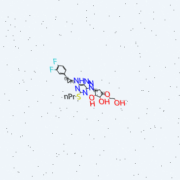 CCCSc1nc(N[C@@H]2C[C@H]2c2ccc(F)c(F)c2)c2nnn([C@@H]3C[C@H](OCCO)C(O)C3O)c2n1